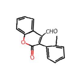 Cc1ccccc1-c1c(C=O)c2ccccc2oc1=O